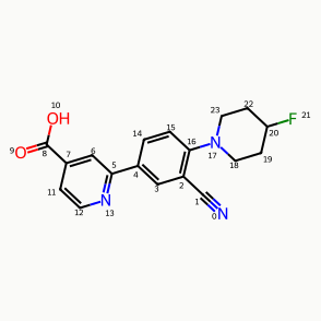 N#Cc1cc(-c2cc(C(=O)O)ccn2)ccc1N1CCC(F)CC1